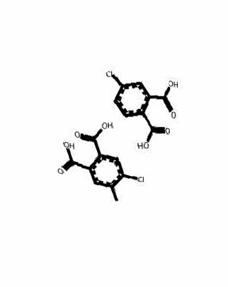 Cc1cc(C(=O)O)c(C(=O)O)cc1Cl.O=C(O)c1ccc(Cl)cc1C(=O)O